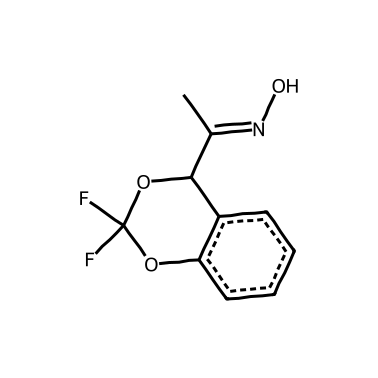 CC(=NO)C1OC(F)(F)Oc2ccccc21